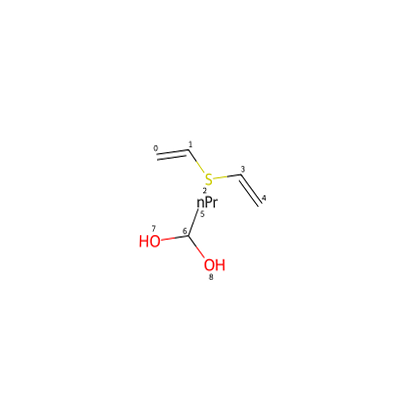 C=CSC=C.CCCC(O)O